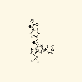 CCC(=O)Nc1ccc(CNc2nc(N3CCOCC3)nc3c(C4CC4)cnn23)cc1